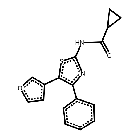 O=C(Nc1nc(-c2ccccc2)c(-c2ccoc2)s1)C1CC1